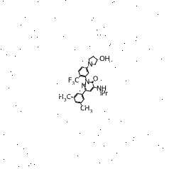 Cc1cc(C)cc(-c2cc(NC(C)C)c(=O)n(-c3cc(N4CC[C@H](O)C4)ccc3C(F)(F)F)n2)c1